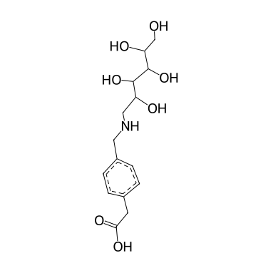 O=C(O)Cc1ccc(CNCC(O)C(O)C(O)C(O)CO)cc1